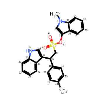 Cn1cc(OS(=O)(=O)CC(c2ccc(C(F)(F)F)cc2)c2c[nH]c3ccccc23)c2ccccc21